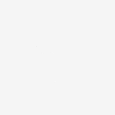 CCOC(=O)C(C)Oc1ccc(C=O)cc1OC